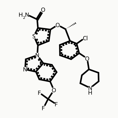 C[C@@H](Oc1cc(-n2cnc3cc(OC(F)(F)F)ccc32)sc1C(N)=O)c1cccc(OC2CCNCC2)c1Cl